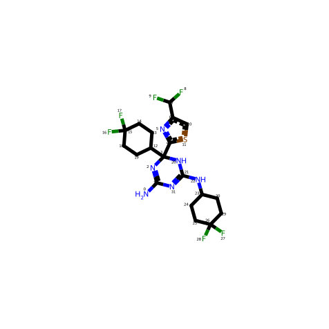 NC1=NC(c2nc(C(F)F)cs2)(C2CCC(F)(F)CC2)NC(NC2CCC(F)(F)CC2)=N1